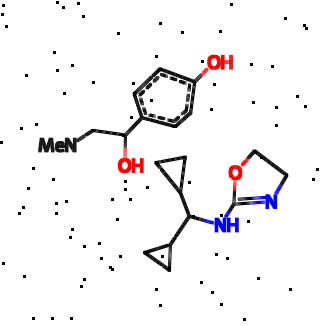 C1COC(NC(C2CC2)C2CC2)=N1.CNCC(O)c1ccc(O)cc1